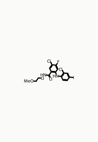 COCCONC(=O)c1cc(Cl)c(F)cc1Nc1ccc(I)cc1Cl